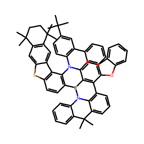 CC(C)(C)c1ccc(N2c3cc4c(oc5ccccc54)c4c3B(c3ccc5sc6cc7c(cc6c5c32)C(C)(C)CCC7(C)C)N2c3ccccc3C(C)(C)c3cccc-4c32)c(-c2ccccc2)c1